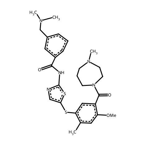 COc1cc(C)c(Sc2cnc(NC(=O)c3cccc(CN(C)C)c3)s2)cc1C(=O)N1CCCN(C)CC1